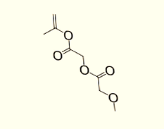 C=C(C)OC(=O)COC(=O)COC